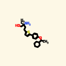 CC(Oc1ccc(-c2ccc(CCC(C)(N)CO)s2)cc1)C1CCCCC1